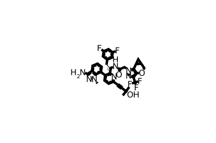 Cn1nc(N)c2cccc(-c3ccc(C#CC(C)(C)O)nc3[C@H](Cc3cc(F)cc(F)c3)NC(=O)Cn3nc(C(F)(F)F)c4c3C3CC3CO4)c21